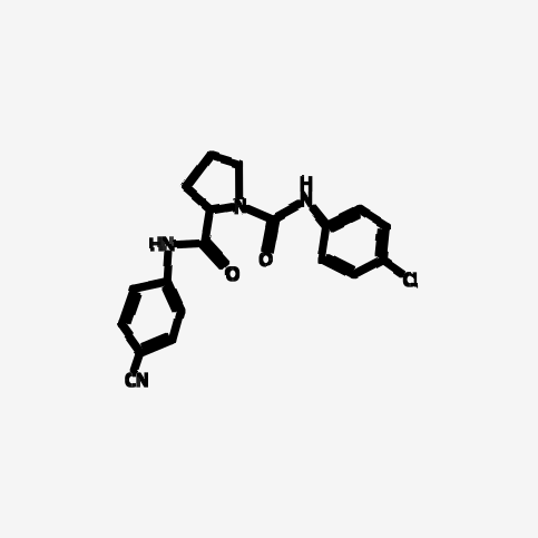 N#Cc1ccc(NC(=O)C2CCCN2C(=O)Nc2ccc(Cl)cc2)cc1